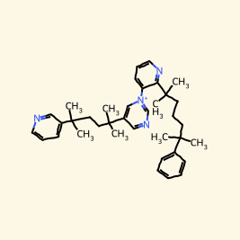 CC(C)(CCCC(C)(C)c1ncccc1-[n+]1cncc(C(C)(C)CCC(C)(C)c2cccnc2)c1)c1ccccc1